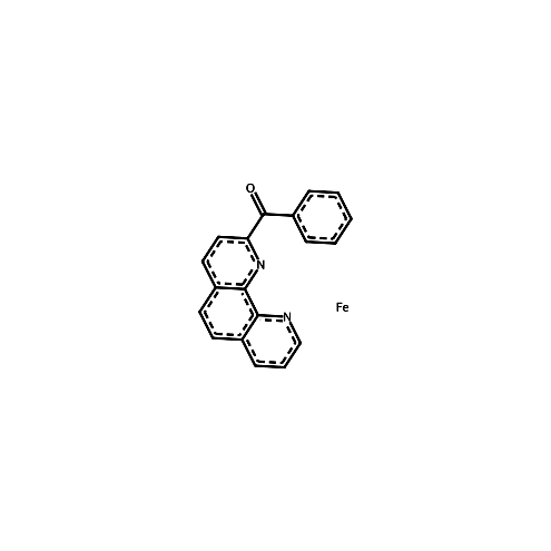 O=C(c1ccccc1)c1ccc2ccc3cccnc3c2n1.[Fe]